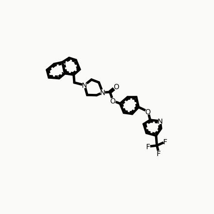 O=C(Oc1ccc(Oc2ccc(C(F)(F)F)cn2)cc1)N1CCN(Cc2cccc3ccccc23)CC1